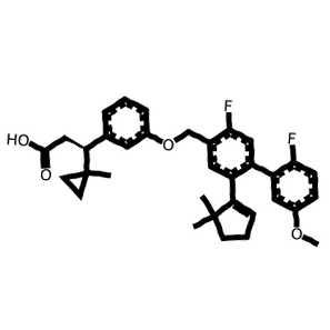 COc1ccc(F)c(-c2cc(F)c(COc3cccc([C@H](CC(=O)O)C4(C)CC4)c3)cc2C2=CCCC2(C)C)c1